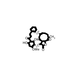 C=C1C(=O)OC2C1CCC(C)=CCCC1(C)OC21.COc1cc(O)c(C(=O)C=Cc2ccccc2)c(OC)c1